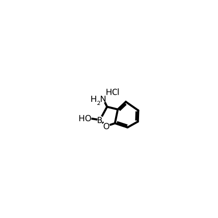 Cl.NC1B(O)Oc2ccccc21